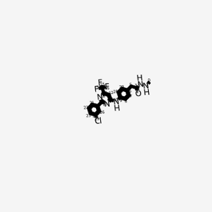 CNNC(=O)Cc1ccc(Nc2cc(C(F)(F)F)nc(-c3cccc(Cl)c3)n2)cc1